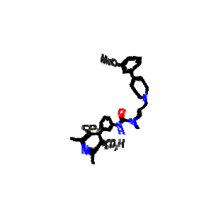 COc1cccc(C2CCN(CCCN(C)C(=O)Nc3cccc(C4C(C(=O)O)=C(C)N=C(C)C4C(=O)O)c3)CC2)c1